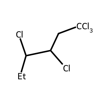 CCC(Cl)C(Cl)CC(Cl)(Cl)Cl